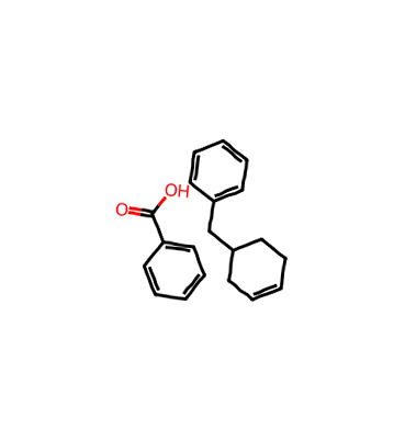 C1=CCC(Cc2ccccc2)CC1.O=C(O)c1ccccc1